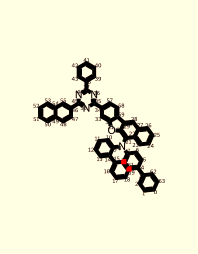 c1ccc(-c2ccc(N(c3ccccc3-c3ccccc3)c3c4ccccc4cc4c3oc3cc(-c5nc(-c6ccccc6)nc(-c6ccc7ccccc7c6)n5)ccc34)cc2)cc1